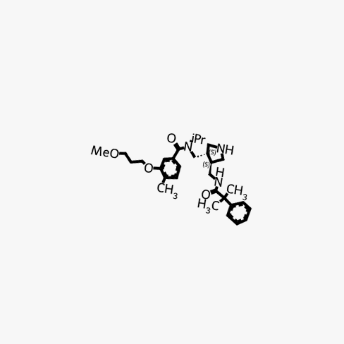 COCCCOc1cc(C(=O)N(C[C@@H]2CNC[C@H]2CNC(=O)C(C)(C)c2ccccc2)C(C)C)ccc1C